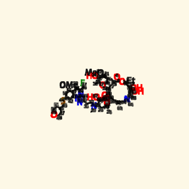 CC[C@H]1OC(=O)[C@H](C)C([C@H]2C[C@@](C)(OC)[C@@H](O)[C@H](C)O2)[C@H](C)[C@@H](O[C@@H]2O[C@H](C)C[C@H](N(C)CCc3cn([C@H](CF)[C@H](OC)c4ccc(SCC5CCOCC5)cc4)nn3)[C@H]2O)[C@](C)(O)C[C@@H](C)CN(C)[C@H](C)[C@@H](O)[C@]1(C)O